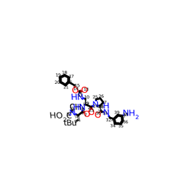 CN(C(=O)O)[C@@H](CC(C)(C)C)C(=O)N[C@@H](CNC(=O)OCc1ccccc1)C(=O)N1CCC[C@H]1C(=O)NCc1cccc(N)c1